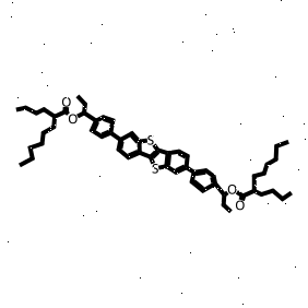 CCCCCCC(CCCC)C(=O)OC(CC)c1ccc(-c2ccc3c(c2)sc2c4ccc(-c5ccc(C(CC)OC(=O)C(CCCC)CCCCCC)cc5)cc4sc32)cc1